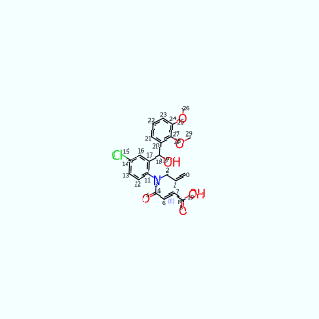 C=CCN(C(=O)/C=C/C(=O)O)c1ccc(Cl)cc1C(O)c1cccc(OC)c1OC